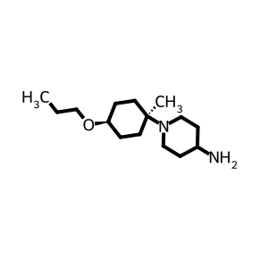 CCCO[C@H]1CC[C@@](C)(N2CCC(N)CC2)CC1